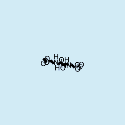 CS(=O)(=O)OCCNC[C@@H](O)[C@@H](O)CNCCOS(C)(=O)=O